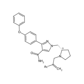 C=C(CN1CCC[C@H]1Cn1cc(C(N)=O)c(-c2ccc(Oc3ccccc3)cc2)n1)C(C)=O